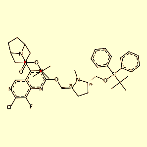 CN1[C@H](COc2nc(N3CC4CCC(C3)N4C(=O)OC(C)(C)C)c3cnc(Cl)c(F)c3n2)CC[C@H]1CO[Si](c1ccccc1)(c1ccccc1)C(C)(C)C